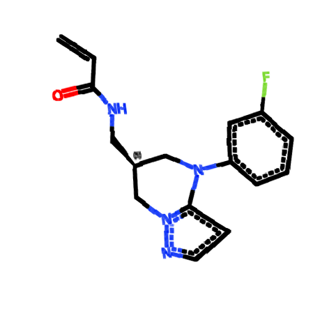 C=CC(=O)NC[C@H]1CN(c2cccc(F)c2)c2ccnn2C1